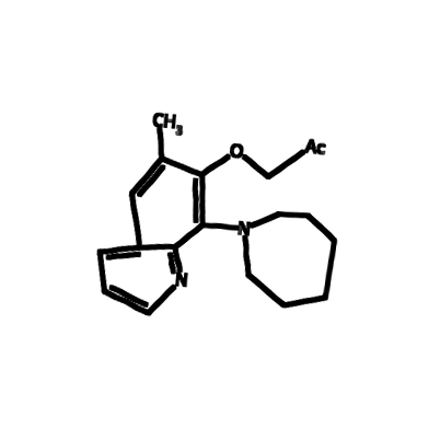 CC(=O)COc1c(C)cc2cccnc2c1N1CCCCCC1